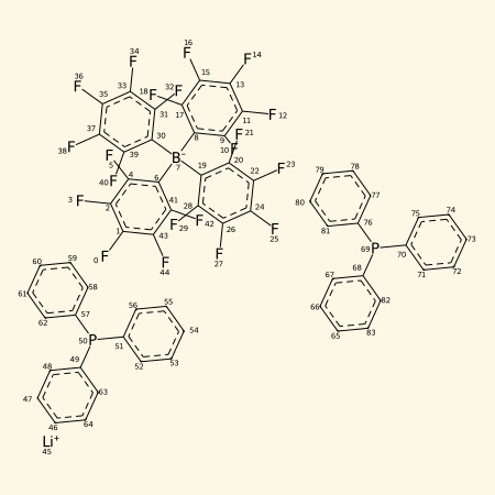 Fc1c(F)c(F)c([B-](c2c(F)c(F)c(F)c(F)c2F)(c2c(F)c(F)c(F)c(F)c2F)c2c(F)c(F)c(F)c(F)c2F)c(F)c1F.[Li+].c1ccc(P(c2ccccc2)c2ccccc2)cc1.c1ccc(P(c2ccccc2)c2ccccc2)cc1